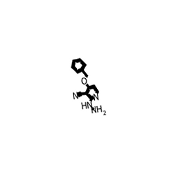 N#Cc1c(OCc2ccccc2)ccnc1NN